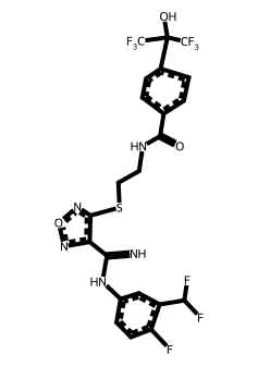 N=C(Nc1ccc(F)c(C(F)F)c1)c1nonc1SCCNC(=O)c1ccc(C(O)(C(F)(F)F)C(F)(F)F)cc1